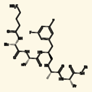 CCC[C@H](NC(=O)[C@@H](NC(=O)CCCC(=O)O)[C@@H](C)CC)C(=O)N[C@H](CN[C@@H](C)C(=O)N[C@H](C(=O)NCC)C(C)C)Cc1cc(F)cc(F)c1